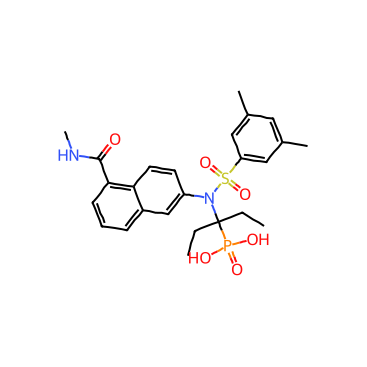 CCC(CC)(N(c1ccc2c(C(=O)NC)cccc2c1)S(=O)(=O)c1cc(C)cc(C)c1)P(=O)(O)O